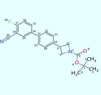 CC(C)(C)OC(=O)N1CC(c2ccc(-c3ccc(F)c(C#N)c3)cc2)C1